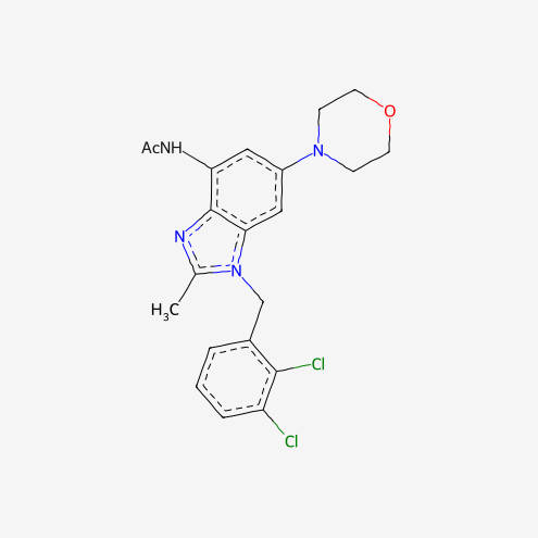 CC(=O)Nc1cc(N2CCOCC2)cc2c1nc(C)n2Cc1cccc(Cl)c1Cl